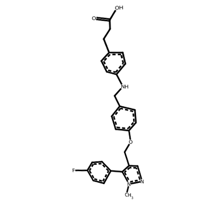 Cn1ncc(COc2ccc(CNc3ccc(CCC(=O)O)cc3)cc2)c1-c1ccc(F)cc1